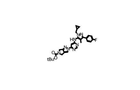 Cc1c(-c2ccc(F)cc2)nn(CC2CC2)c1Nc1cc(-n2cc3c(n2)CN(C(=O)OC(C)(C)C)C3)ncn1